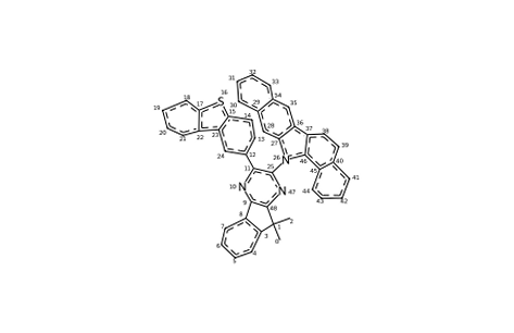 CC1(C)c2ccccc2-c2nc(-c3ccc4sc5ccccc5c4c3)c(-n3c4cc5ccccc5cc4c4ccc5ccccc5c43)nc21